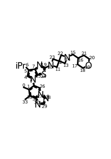 Cc1c(-n2cc(C(C)C)c3nc(N4CC5(CN(CC6CCOCC6)C5)C4)sc32)cn2ncnc2c1C